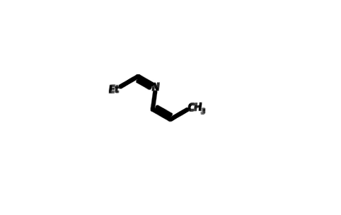 C/C=C\N=C/CC